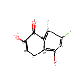 O=C1c2c(F)c(F)cc(Br)c2CCC1O